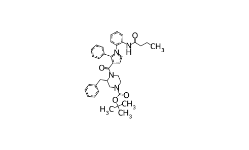 CCCC(=O)Nc1ccccc1-n1ccc(C(=O)N2CCN(C(=O)OC(C)(C)C)CC2Cc2ccccc2)c1-c1ccccc1